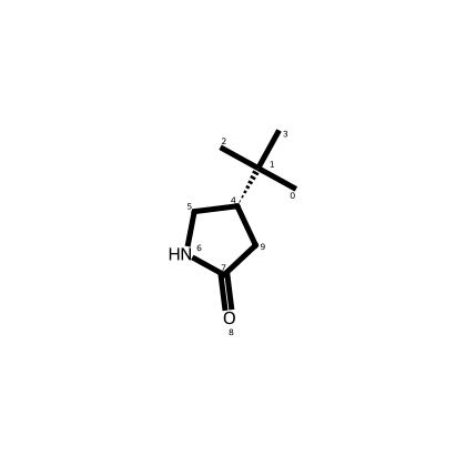 CC(C)(C)[C@H]1CNC(=O)C1